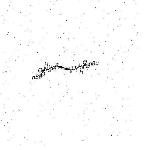 CCCCOC(=O)NCCOCC#CC#CCOCCNC(=O)OCCCC